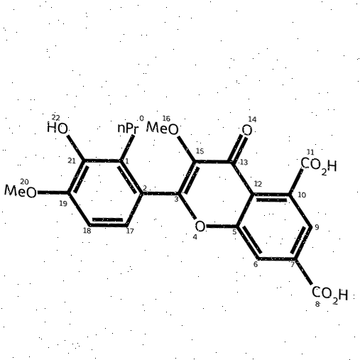 CCCc1c(-c2oc3cc(C(=O)O)cc(C(=O)O)c3c(=O)c2OC)ccc(OC)c1O